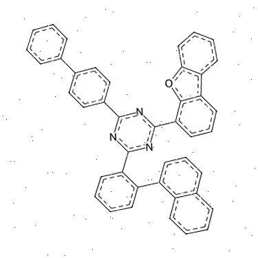 c1ccc(-c2ccc(-c3nc(-c4ccccc4-c4cccc5ccccc45)nc(-c4cccc5c4oc4ccccc45)n3)cc2)cc1